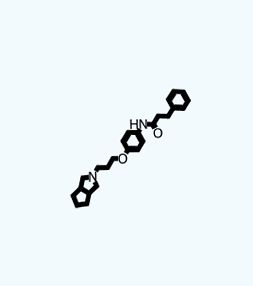 O=C(CCc1ccccc1)Nc1ccc(OCCCN2CC3CCCC3C2)cc1